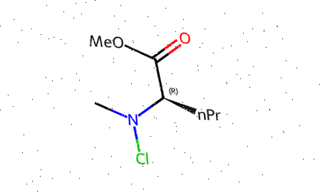 CCC[C@H](C(=O)OC)N(C)Cl